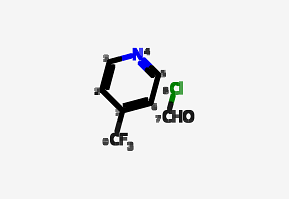 FC(F)(F)c1ccncc1.O=CCl